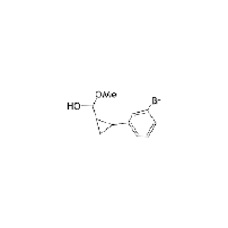 COC(O)C1CC1c1cccc(Br)c1